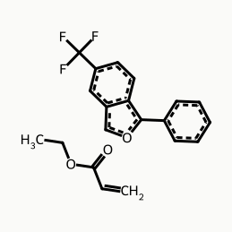 C=CC(=O)OCC.FC(F)(F)c1ccc2c(-c3ccccc3)occ2c1